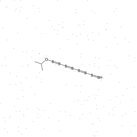 B=BB=BB=BB=BOC(C)C